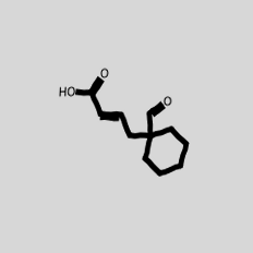 O=CC1(C/C=C/C(=O)O)CCCCC1